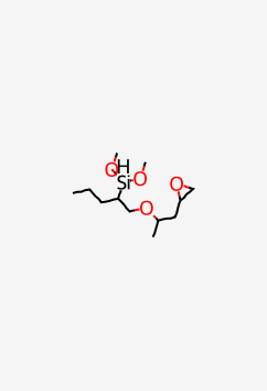 CCCC(COC(C)CC1CO1)[SiH](OC)OC